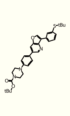 CC(C)(C)OC(=O)N1CCN(c2ccc(-c3cnc4c(-c5cccc(SC(C)(C)C)c5)coc4c3)cc2)CC1